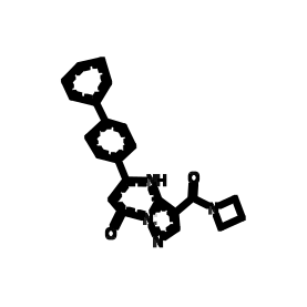 O=C(c1cnn2c(=O)cc(-c3ccc(-c4ccccc4)cc3)[nH]c12)N1CCC1